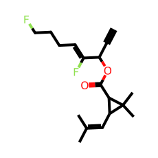 C#CC(OC(=O)C1C(C=C(C)C)C1(C)C)C(F)=CCCCF